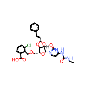 CCNC(=O)Nc1ccn([C@@H]2O[C@H](COCc3c(Cl)cccc3C(=O)O)C3O[C@H](/C=C/c4ccccc4)O[C@@H]32)c(=O)n1